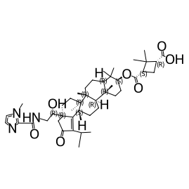 CC(C)C1=C2[C@H]3CC[C@@H]4[C@@]5(C)CC[C@H](OC(=O)[C@H]6C[C@@H](C(=O)O)C6(C)C)C(C)(C)[C@@H]5CC[C@@]4(C)[C@]3(C)CC[C@@]2([C@@H](O)CNC(=O)c2nccn2C)CC1=O